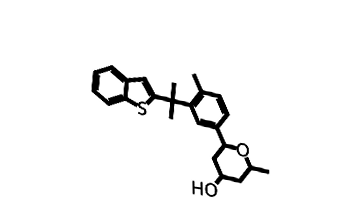 Cc1ccc(C2CC(O)CC(C)O2)cc1C(C)(C)c1cc2ccccc2s1